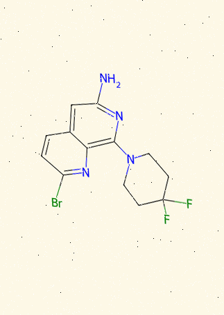 Nc1cc2ccc(Br)nc2c(N2CCC(F)(F)CC2)n1